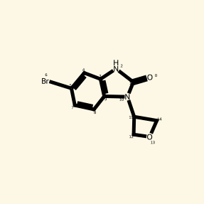 O=c1[nH]c2cc(Br)ccc2n1C1COC1